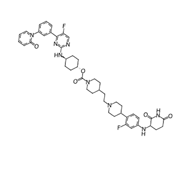 O=C1CCC(Nc2ccc(C3CCN(CCC4CCN(C(=O)O[C@H]5CC[C@H](Nc6ncc(F)c(-c7cccc(-n8ccccc8=O)c7)n6)CC5)CC4)CC3)c(F)c2)C(=O)N1